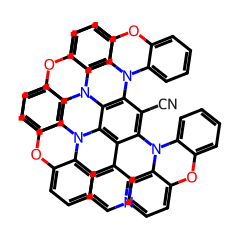 N#Cc1c(N2c3ccccc3Oc3ccccc32)c(-c2cccnc2)c(N2c3ccccc3Oc3ccccc32)c(N2c3ccccc3Oc3ccccc32)c1N1c2ccccc2Oc2ccccc21